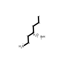 Br.CCCCCCN.O